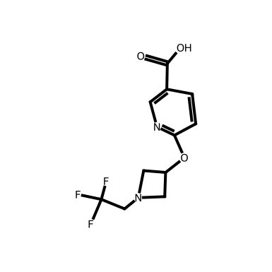 O=C(O)c1ccc(OC2CN(CC(F)(F)F)C2)nc1